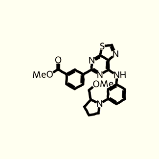 COCC1CCCN1c1cccc(Nc2nc(-c3cccc(C(=O)OC)c3)nc3scnc23)c1